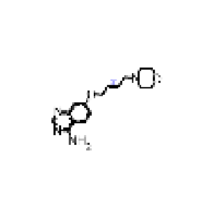 Nc1ncnc2cc(OC/C=C/CN3CCOCC3)ccc12